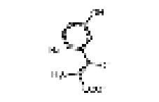 CC(C(=O)[O-])=[P+]([O-])c1cccc(O)c1.[Na+]